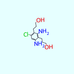 Nc1cc(Cl)c(CCCO)c(N)c1CCCO